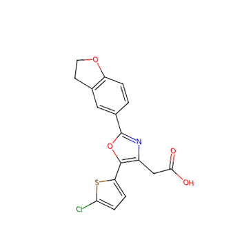 O=C(O)Cc1nc(-c2ccc3c(c2)CCO3)oc1-c1ccc(Cl)s1